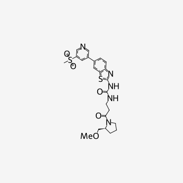 COC[C@@H]1CCCN1C(=O)CCNC(=O)Nc1nc2ccc(-c3cncc(S(C)(=O)=O)c3)cc2s1